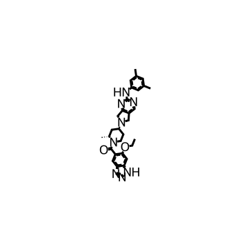 CCOc1cc2[nH]nnc2cc1C(=O)N1CC[C@H](N2Cc3cnc(Nc4cc(C)cc(C)c4)nc3C2)C[C@H]1C